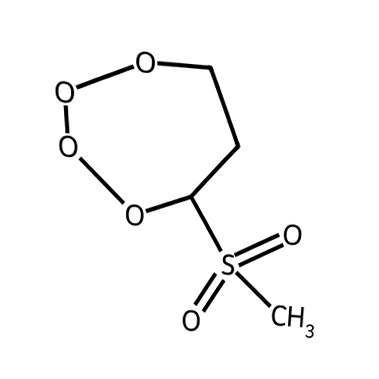 CS(=O)(=O)C1CCOOOO1